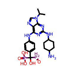 CC(C)n1cnc2c(Nc3ccc(C(O)([PH2]=O)P(=O)(O)O)cc3)nc(NC3CCC(N)CC3)nc21